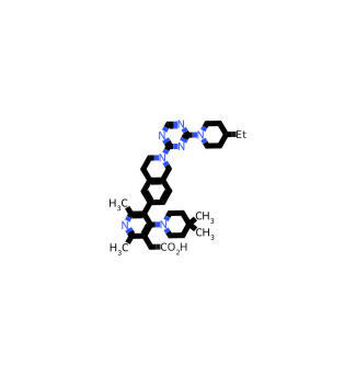 CCC1CCN(c2ncnc(N3CCc4cc(-c5c(C)nc(C)c(CC(=O)O)c5N5CCC(C)(C)CC5)ccc4C3)n2)CC1